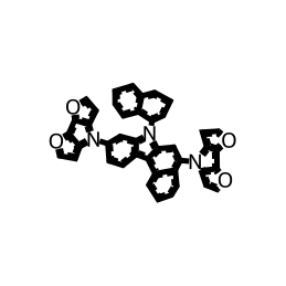 c1ccc2c(-n3c4cc(-n5c6ccoc6c6occc65)ccc4c4c5ccccc5c(-n5c6ccoc6c6occc65)cc43)cccc2c1